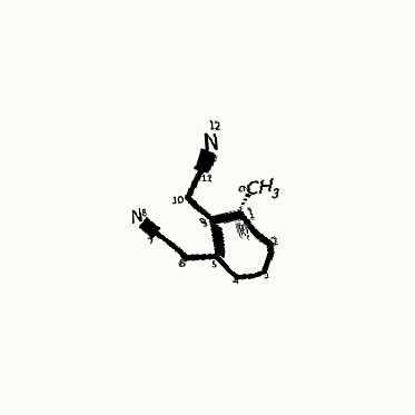 C[C@@H]1CCCC(CC#N)=C1CC#N